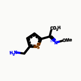 CO/N=C(\C(=O)O)c1ccc(CN)s1